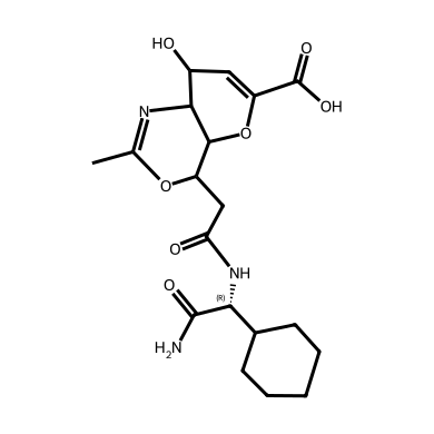 CC1=NC2C(O)C=C(C(=O)O)OC2C(CC(=O)N[C@@H](C(N)=O)C2CCCCC2)O1